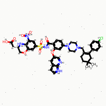 CC1(C)CCC(CN2CCN(c3ccc(C(=O)NS(=O)(=O)c4cc5c(c([N+](=O)[O-])c4)N[C@@H](CC(=O)O)CO5)c(Oc4cnc5[nH]ccc5c4)c3)CC2)=C(c2ccc(Cl)cc2)C1